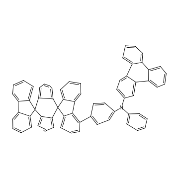 c1ccc(N(c2ccc(-c3cccc4c3-c3ccccc3C43c4ccccc4C4(c5ccccc5-c5ccccc54)c4ccccc43)cc2)c2ccc3c4ccccc4c4ccccc4c3c2)cc1